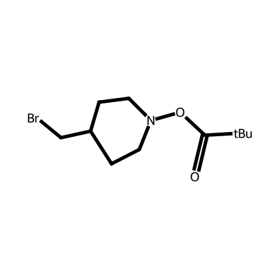 CC(C)(C)C(=O)ON1CCC(CBr)CC1